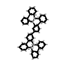 c1ccc2c(c1)B1c3cc(-c4ccc5c(c4)N4B(c6ccccc6-c6ccccc64)c4ccccc4-5)ccc3-c3ccccc3N1c1ccccc1-2